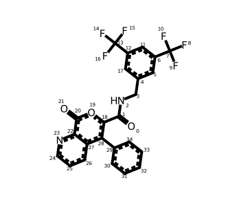 O=C(NCc1cc(C(F)(F)F)cc(C(F)(F)F)c1)c1oc(=O)c2ncccc2c1-c1ccccc1